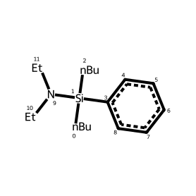 CCCC[Si](CCCC)(c1ccccc1)N(CC)CC